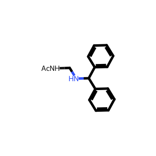 CC(=O)NCNC(c1ccccc1)c1ccccc1